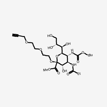 C#CCOCCOCCO[C@@]1(C(=O)OC)O[C@@H]([C@H](O)[C@H](O)CO)[C@H](NC(=O)OC(C)(C)C)[C@@H](NC(=O)CC)[C@@H]1O